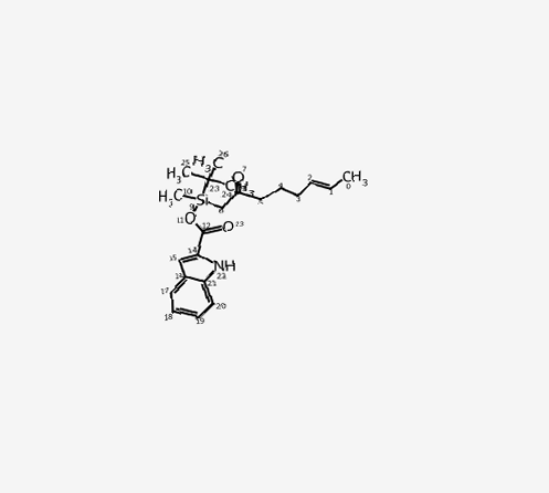 CC=CCCCC(=O)C[Si](C)(OC(=O)c1cc2ccccc2[nH]1)C(C)(C)C